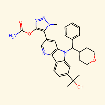 Cn1nnc(OC(N)=O)c1-c1cnc2c3ccc(C(C)(C)O)cc3n(C(c3ccccc3)C3CCOCC3)c2c1